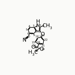 Cc1[nH]c2ccc(C#N)cc2c1Oc1ccc(S(C)(=O)=O)cc1